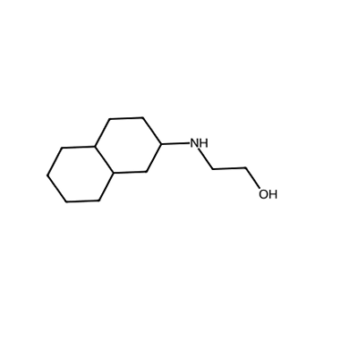 OCCNC1CCC2CCCCC2C1